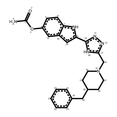 NC(=O)Oc1ccc2[nH]c(-c3nnc(CN4CCC(Cc5ccccc5)CC4)[nH]3)cc2c1